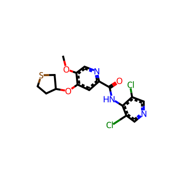 COc1cnc(C(=O)Nc2c(Cl)cncc2Cl)cc1OC1CCSC1